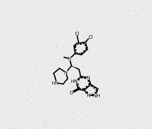 CN(c1ccc(Cl)c(Cl)c1)[C@@H](Cc1nc2c[nH]nc2c(=O)[nH]1)N1CCNCC1